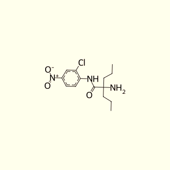 CCCC(N)(CCC)C(=O)Nc1ccc([N+](=O)[O-])cc1Cl